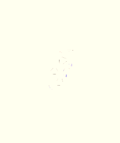 CCN(CC)Cc1ccc(N/C(=C2\C(=O)Nc3cc(C(=O)OC)ccc32)c2ccccc2)cc1